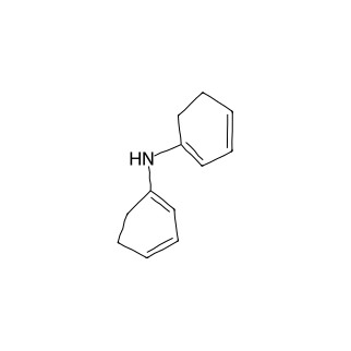 C1=CCCC(NC2=CC=CCC2)=C1